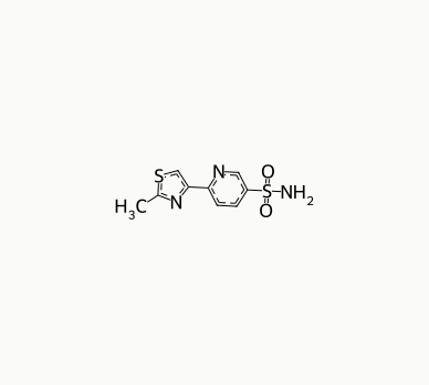 Cc1nc(-c2ccc(S(N)(=O)=O)cn2)cs1